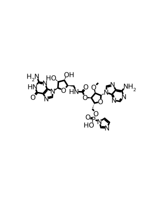 CO[C@@H]1[C@H](OC(=O)NC[C@H]2O[C@@H](n3cnc4c(=O)[nH]c(N)nc43)[C@H](O)[C@@H]2O)[C@@H](COP(=O)(O)n2ccnc2)O[C@H]1n1cnc2c(N)ncnc21